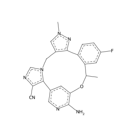 CC1Oc2cc(cnc2N)-c2c(C#N)ncn2Cc2cn(C)nc2-c2ccc(F)cc21